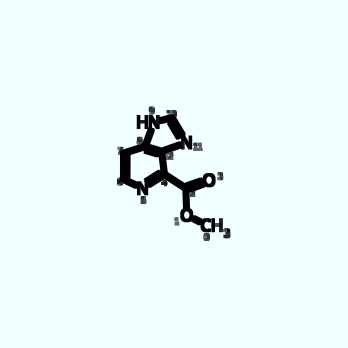 COC(=O)c1nccc2[nH]cnc12